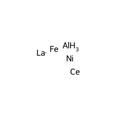 [AlH3].[Ce].[Fe].[La].[Ni]